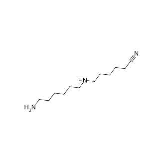 N#CCCCCCNCCCCCCN